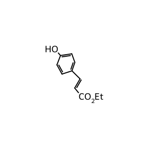 CCOC(=O)C=Cc1ccc(O)cc1